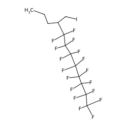 CCCC(CI)C(F)(F)C(F)(F)C(F)(F)C(F)(F)C(F)(F)C(F)(F)C(F)(F)C(F)(F)F